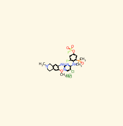 COc1cc2c(cc1Nc1ncc(Cl)c(Nc3c(F)cc(OS(=O)(=O)F)cc3P(C)(C)=O)n1)CN(C)CC2.Cl.Cl